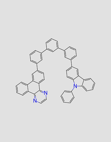 c1ccc(-n2c3ccccc3c3cc(-c4cccc(-c5cccc(-c6cccc(-c7ccc8c(c7)c7ccccc7c7nccnc87)c6)c5)c4)ccc32)cc1